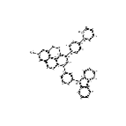 CC(C)(C)c1cc2c3c(ccc4c(-c5cccc(-n6c7ccccc7c7ccccc76)c5)cc(-c5ccc(-c6ccccn6)cc5)c(c43)CC2)c1